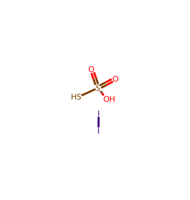 II.O=S(=O)(O)S